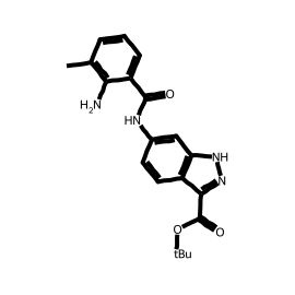 Cc1cccc(C(=O)Nc2ccc3c(C(=O)OC(C)(C)C)n[nH]c3c2)c1N